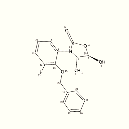 CC1[C@H](O)OC(=O)N1c1cccc(F)c1OCc1ccccc1